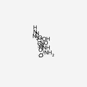 NC(C(=O)NC1C(=O)N2C(C(=O)O)=C(CSc3nc[nH]n3)CS[C@@H]12)c1ccccc1